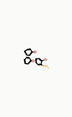 Brc1ccccc1.Brc1ccccc1.Pc1ccccc1Br